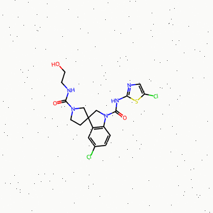 O=C(NCCO)N1CCC2(C1)CN(C(=O)Nc1ncc(Cl)s1)c1ccc(Cl)cc12